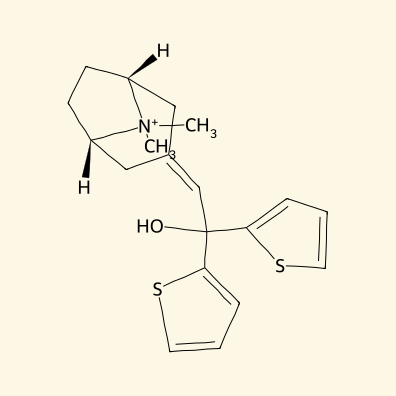 C[N+]1(C)[C@@H]2CC[C@H]1C/C(=C\C(O)(c1cccs1)c1cccs1)C2